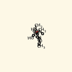 C=CCNCC(=O)N1[C@@H](NC(=C)NCc2ccccc2)CN(Cc2cccc3c2nnn3CC(=O)N2CCN(C)CC2)C(=O)[C@@H]1Cc1ccc(O)cc1